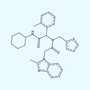 Cc1ccccc1C(C(=O)NC1CCCCC1)N(Cc1cccs1)C(=O)Cn1c(C)nc2ccccc21